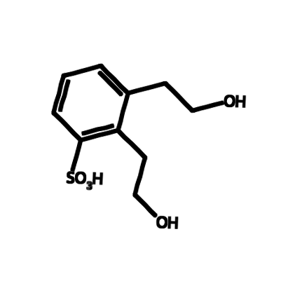 O=S(=O)(O)c1cccc(CCO)c1CCO